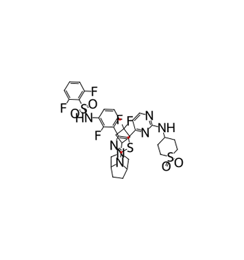 O=S1(=O)CCC(Nc2nccc(-c3sc(N4C5CCC4CN(C4CC(F)(F)C4)C5)nc3-c3cccc(NS(=O)(=O)c4c(F)cccc4F)c3F)n2)CC1